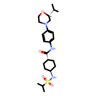 CC(C)[C@@H]1CN(c2ccc(NC(=O)[C@H]3CC[C@H](NS(=O)(=O)C(C)C)CC3)cc2)CCO1